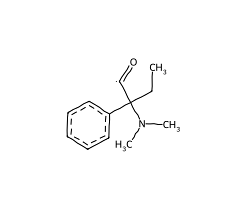 CCC([C]=O)(c1ccccc1)N(C)C